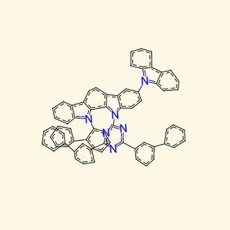 c1ccc(-c2cccc(-c3nc(-c4cccc(-c5ccccc5)c4)nc(-n4c5ccc(-n6c7ccccc7c7ccccc76)cc5c5ccc6c7ccccc7n(-c7ccccc7-c7ccccc7)c6c54)n3)c2)cc1